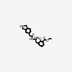 CCOC(=O)c1cccc2c1OBC(NC(=O)Cc1ccc3c(c1)CNC3)C2